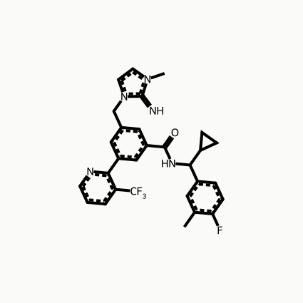 Cc1cc(C(NC(=O)c2cc(Cn3ccn(C)c3=N)cc(-c3ncccc3C(F)(F)F)c2)C2CC2)ccc1F